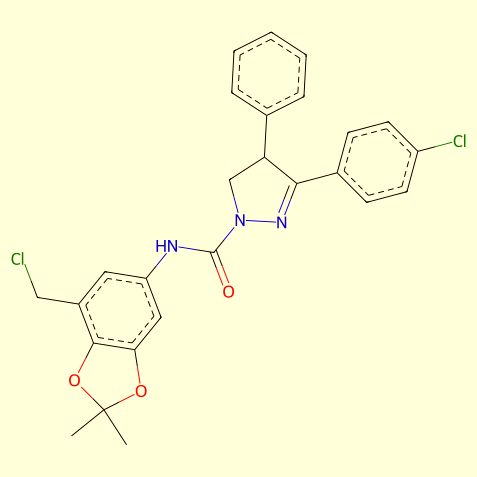 CC1(C)Oc2cc(NC(=O)N3CC(c4ccccc4)C(c4ccc(Cl)cc4)=N3)cc(CCl)c2O1